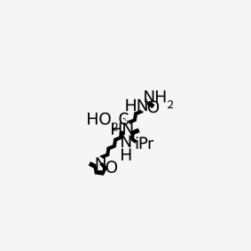 C=C(CCCCCN1C(=C)C=CC1=O)NC(C(=C)N[C@@H](CCCNC(N)=O)C(=O)O)C(C)C